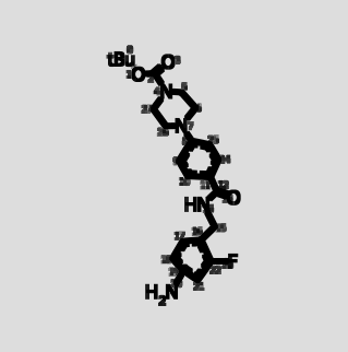 CC(C)(C)OC(=O)N1CCN(c2ccc(C(=O)NCc3ccc(N)cc3F)cc2)CC1